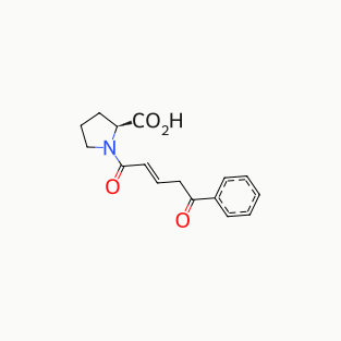 O=C(CC=CC(=O)N1CCC[C@H]1C(=O)O)c1ccccc1